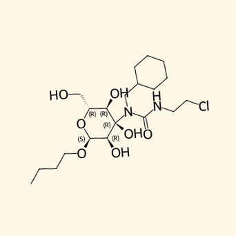 CCCCO[C@H]1O[C@H](CO)[C@@H](O)[C@](O)(N(CC2CCCCC2)C(=O)NCCCl)[C@H]1O